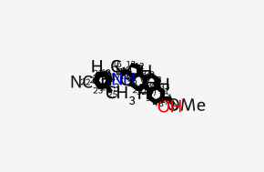 COC[C@@]1(O)CC[C@H]2[C@H](CC[C@H]3C4CC[C@H]([C@H](C)Nc5ccc(C#N)cc5C)[C@@]4(C)CC[C@H]23)C1